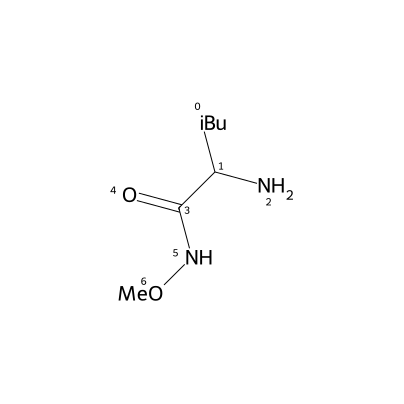 CCC(C)C(N)C(=O)NOC